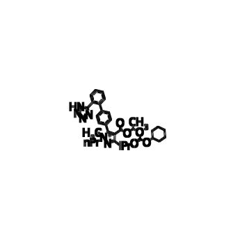 CCC[N+]1(C)N=C(C(C)C)C(C(=O)OC(C)OC(=O)OC2CCCCC2)=C1c1ccc(-c2ccccc2-c2nnn[nH]2)cc1